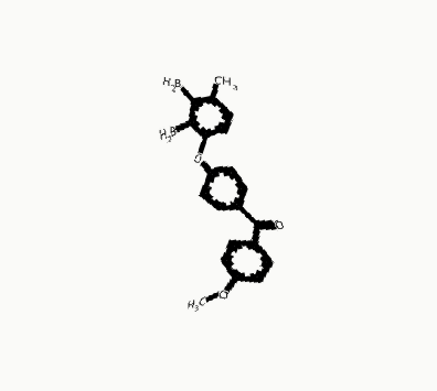 Bc1c(C)ccc(Oc2ccc(C(=O)c3ccc(OC)cc3)cc2)c1B